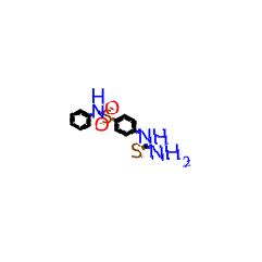 NC(=S)Nc1ccc(S(=O)(=O)Nc2ccccc2)cc1